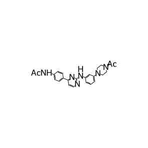 CC(=O)Nc1ccc(-c2ccnc(Nc3cccc(N4CCN(C(C)=O)CC4)c3)n2)cc1